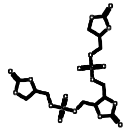 O=C1OCC(COS(=O)(=O)OCC2OC(=O)OC2COS(=O)(=O)OCC2COC(=O)O2)O1